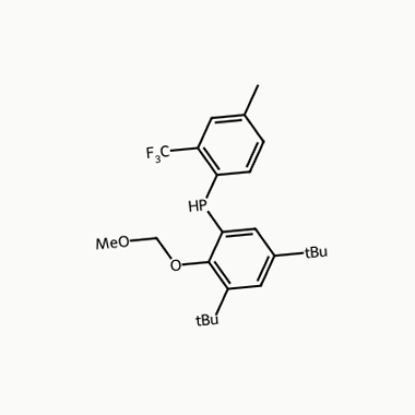 COCOc1c(Pc2ccc(C)cc2C(F)(F)F)cc(C(C)(C)C)cc1C(C)(C)C